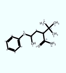 CC(C)(C)C(CC(O)Oc1ccccc1)C(N)=O